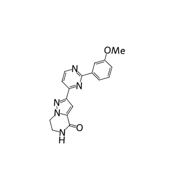 COc1cccc(-c2nccc(-c3cc4n(n3)CCNC4=O)n2)c1